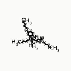 CCCCCNC(=O)C1=NN(c2ccc(OCCCCC)cc2)C(C)(C(=O)NCCCCC)C1